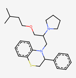 CC(C)CCOCC(CN1c2ccccc2SCC1c1ccccc1)N1CCCC1